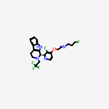 FCCCNCCOc1ccnc([C@@H]2c3[nH]c4ccccc4c3CCN2CC(F)(F)F)c1F